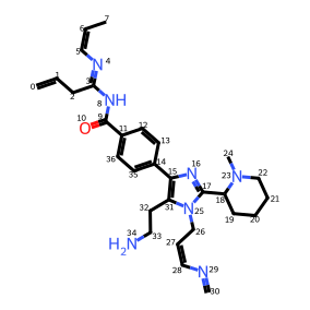 C=CC/C(=N\C=C/C)NC(=O)c1ccc(-c2nc(C3CCCCN3C)n(C/C=C\N=C)c2CCN)cc1